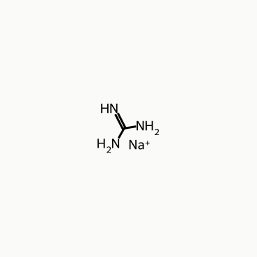 N=C(N)N.[Na+]